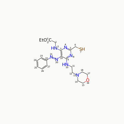 CCOC(=O)CNc1nc(CS)nc(NCCN2CCOCC2)c1/N=N/c1ccccc1